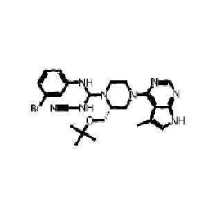 Cc1c[nH]c2ncnc(N3CCN(C(NC#N)Nc4cccc(Br)c4)[C@@H](COC(C)(C)C)C3)c12